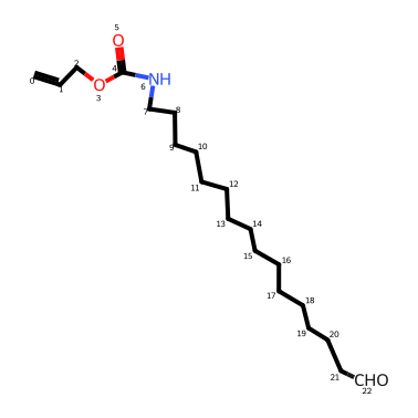 C=CCOC(=O)NCCCCCCCCCCCCCCCC=O